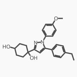 CCc1ccc(-c2cc(C3(O)CCC(O)CC3)nn2-c2ccc(OC)cc2)cc1